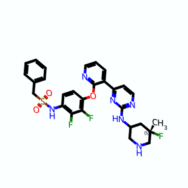 C[C@@]1(F)CNCC(Nc2nccc(-c3cccnc3Oc3ccc(NS(=O)(=O)Cc4ccccc4)c(F)c3F)n2)C1